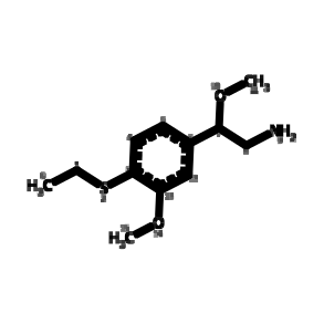 CCSc1ccc(C(CN)OC)cc1OC